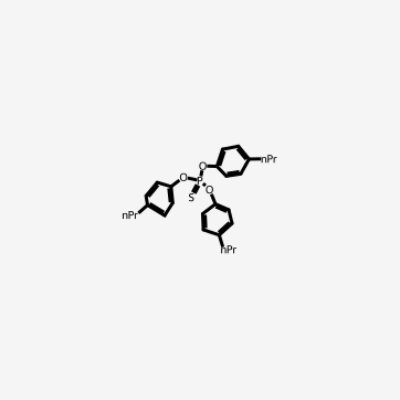 CCCc1ccc(OP(=S)(Oc2ccc(CCC)cc2)Oc2ccc(CCC)cc2)cc1